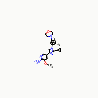 Nc1ncc(-c2cn([C@]34C5C(N6CCOCC6)C[C@@H]3[C@H]54)c(C3CC3)n2)cc1OC(F)(F)F